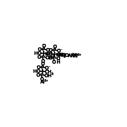 CC(O)(P(=O)([O-])[O-])P(=O)([O-])O.CC(O)(P(=O)([O-])[O-])P(=O)([O-])O.CC(O)(P(=O)([O-])[O-])P(=O)([O-])O.[Al+3].[Al+3].[Al+3].[Al+3].[OH-].[OH-].[OH-]